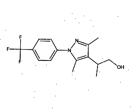 Cc1nn(-c2ccc(C(F)(F)F)cc2)c(C)c1C(C)CO